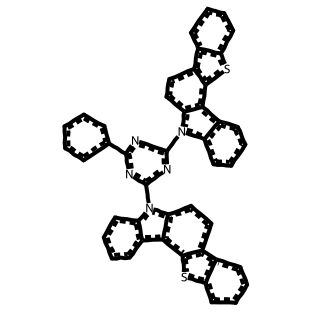 c1ccc(-c2nc(-n3c4ccccc4c4c5sc6ccccc6c5ccc43)nc(-n3c4ccccc4c4c5sc6ccccc6c5ccc43)n2)cc1